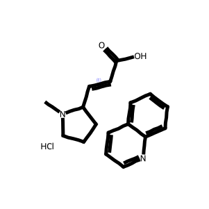 CN1CCCC1/C=C/C(=O)O.Cl.c1ccc2ncccc2c1